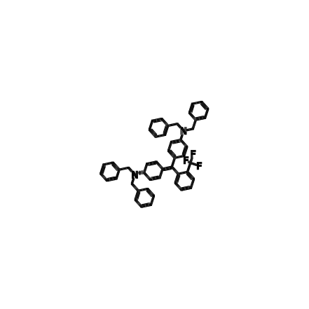 FC(F)(F)c1ccccc1C(=C1C=CC(=[N+](Cc2ccccc2)Cc2ccccc2)C=C1)c1ccc(N(Cc2ccccc2)Cc2ccccc2)cc1